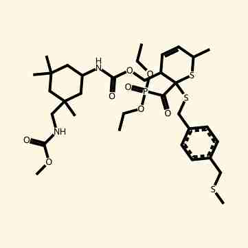 CCOP(=O)(OCC)C(=O)C1(SCc2ccc(CSC)cc2)SC(C)C=CC1COC(=O)NC1CC(C)(C)CC(C)(CNC(=O)OC)C1